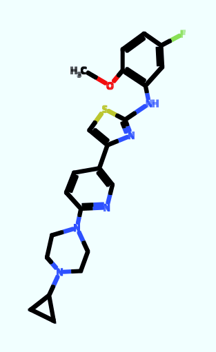 COc1ccc(F)cc1Nc1nc(-c2ccc(N3CCN(C4CC4)CC3)nc2)cs1